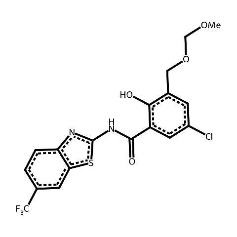 COCOCc1cc(Cl)cc(C(=O)Nc2nc3ccc(C(F)(F)F)cc3s2)c1O